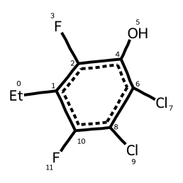 CCc1c(F)c(O)c(Cl)c(Cl)c1F